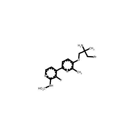 Cc1nc(-c2ccnc(NC(=O)O)c2F)ccc1OCC(C)(N)CC(C)C